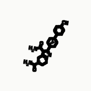 N#Cc1ccc(C23CCC(c4nn5c(c4C(N)=O)CN(C(N)=O)CC5)(CC2)CC3)cc1